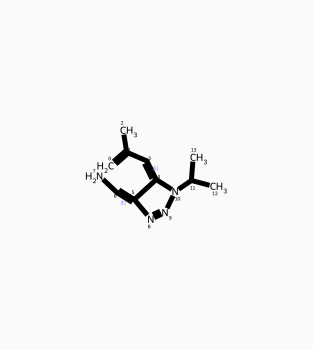 C=C(C)/C=c1\c(=C/N)nnn1C(C)C